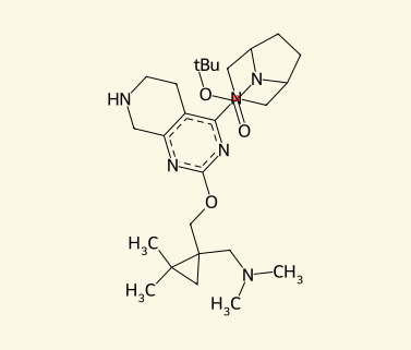 CN(C)CC1(COc2nc3c(c(N4CC5CCC(C4)N5C(=O)OC(C)(C)C)n2)CCNC3)CC1(C)C